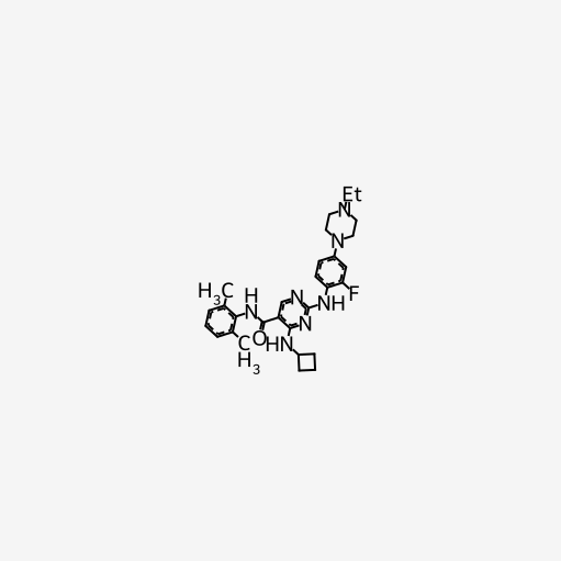 CCN1CCN(c2ccc(Nc3ncc(C(=O)Nc4c(C)cccc4C)c(NC4CCC4)n3)c(F)c2)CC1